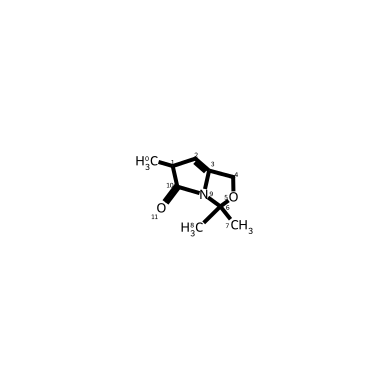 CC1C=C2COC(C)(C)N2C1=O